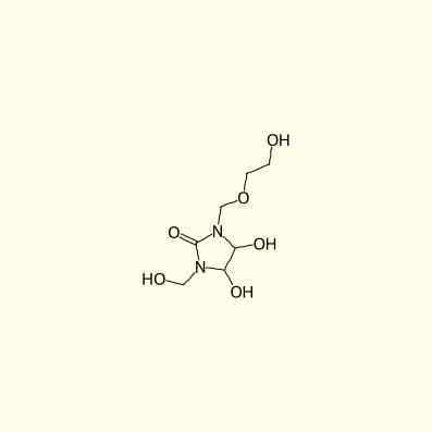 O=C1N(CO)C(O)C(O)N1COCCO